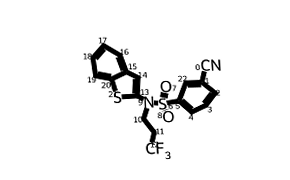 N#Cc1cccc(S(=O)(=O)N(CCC(F)(F)F)c2cc3ccccc3s2)c1